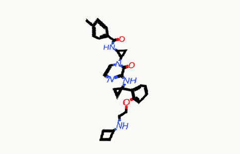 Cc1ccc(C(=O)NC2CC2n2ccnc(NC3(c4ccccc4OCCNC4CCC4)CC3)c2=O)cc1